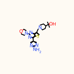 CC(C)(O)C1CCN(Cc2csc3c(-c4cnc(N)nc4)nc(N4CCOCC4)nc23)CC1